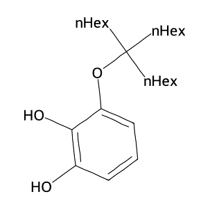 CCCCCCC(CCCCCC)(CCCCCC)Oc1cccc(O)c1O